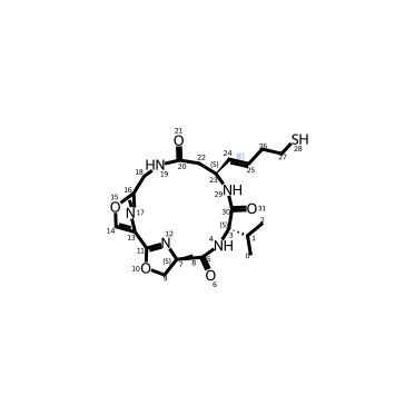 CC(C)[C@@H]1NC(=O)[C@]2(C)COC(=N2)c2coc(n2)CNC(=O)C[C@@H](/C=C/CCS)NC1=O